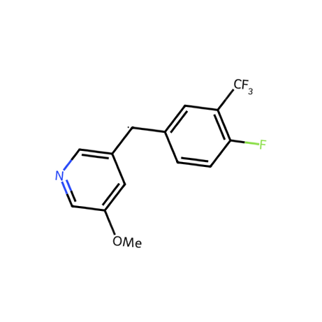 COc1cncc([CH]c2ccc(F)c(C(F)(F)F)c2)c1